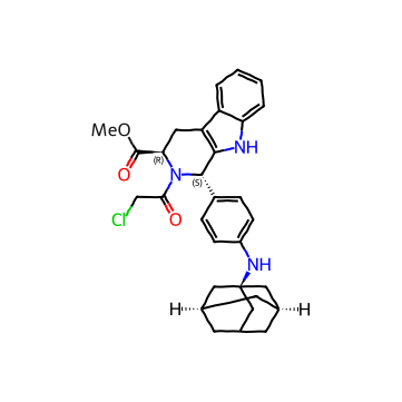 COC(=O)[C@H]1Cc2c([nH]c3ccccc23)[C@H](c2ccc(N[C@]34CC5C[C@H](C[C@H](C5)C3)C4)cc2)N1C(=O)CCl